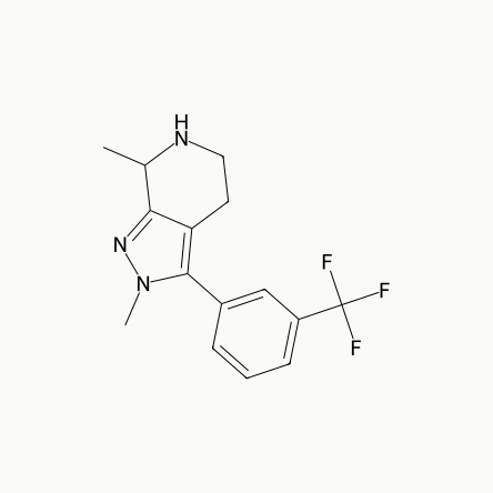 CC1NCCc2c1nn(C)c2-c1cccc(C(F)(F)F)c1